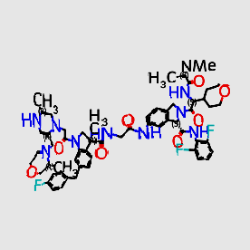 CN[C@@H](C)C(=O)N[C@H](C(=O)N1Cc2ccc(NC(=O)CNC(=O)[C@@]3(C)CN(C(=O)CN4C[C@@H](C)NC[C@@H]4CN4CCOC[C@H]4C)c4cc(Cc5ccc(F)cc5)ccc43)cc2[C@H]1C(=O)Nc1c(F)cccc1F)C1CCOCC1